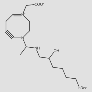 CCCCCCCCCCCCCCC(O)CNC(C)N1C#CC/C=[N+](/CC(=O)[O-])CC1